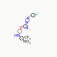 O=[N+]([O-])c1ccc(N[C@H]2CC[C@H](Oc3cncc(N4CCN(Cc5ccc(F)cc5)CC4)c3)CC2)cc1C(F)(F)F